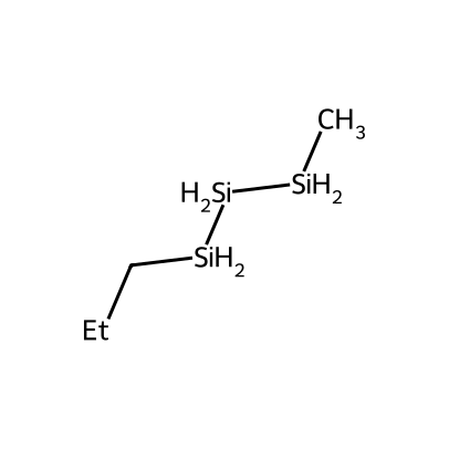 CCC[SiH2][SiH2][SiH2]C